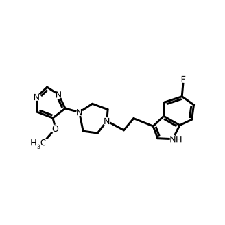 COc1cncnc1N1CCN(CCc2c[nH]c3ccc(F)cc23)CC1